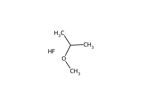 COC(C)C.F